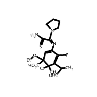 CCOC1(C(=O)O)C=C(N=C(C(N)=S)N2CCCC2)C(F)=C(C(C)C=O)C1(C)Cl